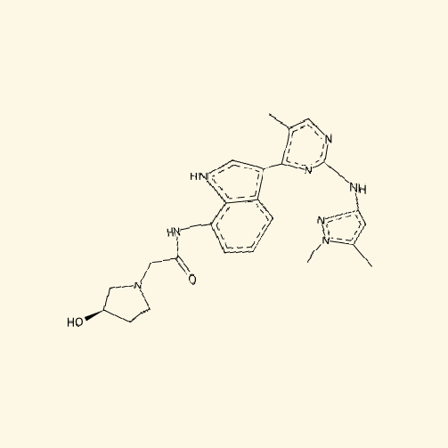 Cc1cnc(Nc2cc(C)n(C)n2)nc1-c1c[nH]c2c(NC(=O)CN3CC[C@@H](O)C3)cccc12